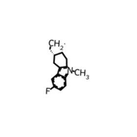 [CH2]C[C@@H]1CCc2c(c3cc(F)ccc3n2C)C1